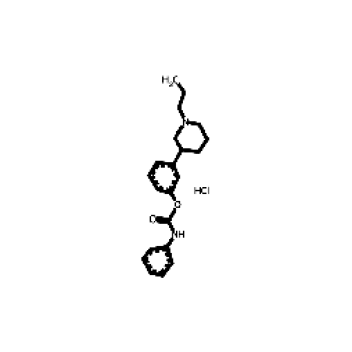 CCCN1CCCC(c2cccc(OC(=O)Nc3ccccc3)c2)C1.Cl